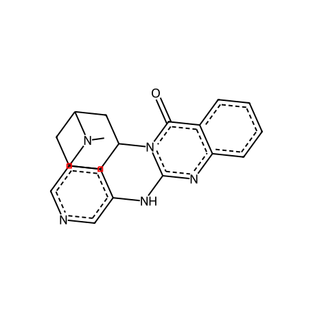 CN1C2CC1CC(n1c(Nc3cccnc3)nc3ccccc3c1=O)C2